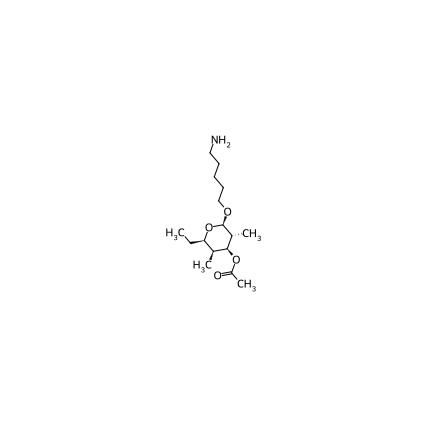 CC[C@H]1O[C@@H](OCCCCCN)[C@H](C)[C@@H](OC(C)=O)[C@H]1C